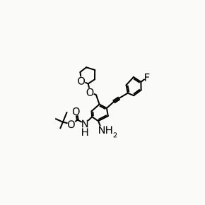 CC(C)(C)OC(=O)Nc1cc(COC2CCCCO2)c(C#Cc2ccc(F)cc2)cc1N